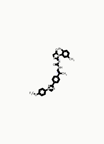 C/C(=C\NC(=O)/N=C1\SCC(=O)N1c1cc(C)ccc1C(C)C)c1ccc(-c2ncn(-c3ccc(OC(F)(F)F)cc3)n2)cc1